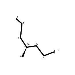 CCC[C@H](C)CCI